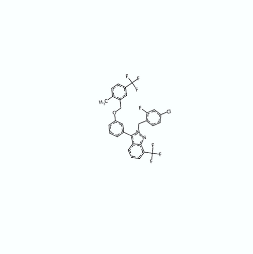 Cc1ccc(C(F)(F)F)cc1COc1cccc(-c2c3cccc(C(F)(F)F)c3nn2Cc2ccc(Cl)cc2F)c1